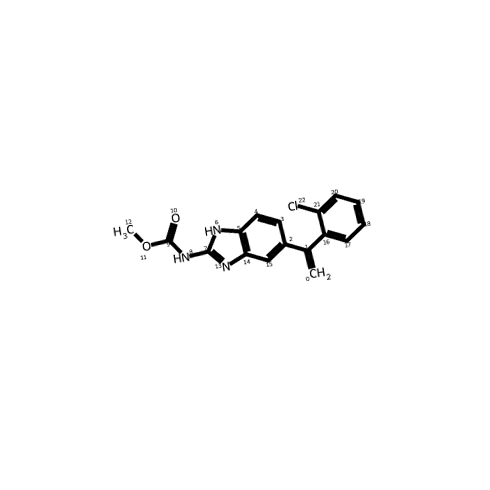 C=C(c1ccc2[nH]c(NC(=O)OC)nc2c1)c1ccccc1Cl